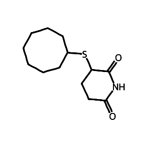 O=C1CCC(SC2CCCCCCC2)C(=O)N1